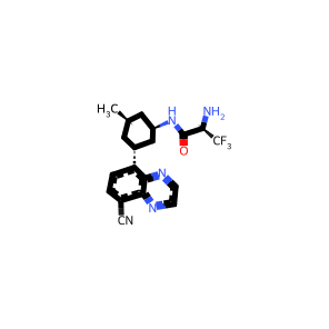 C[C@H]1C[C@@H](NC(=O)[C@@H](N)C(F)(F)F)C[C@H](c2ccc(C#N)c3nccnc23)C1